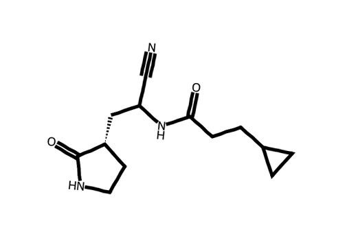 N#CC(C[C@@H]1CCNC1=O)NC(=O)CCC1CC1